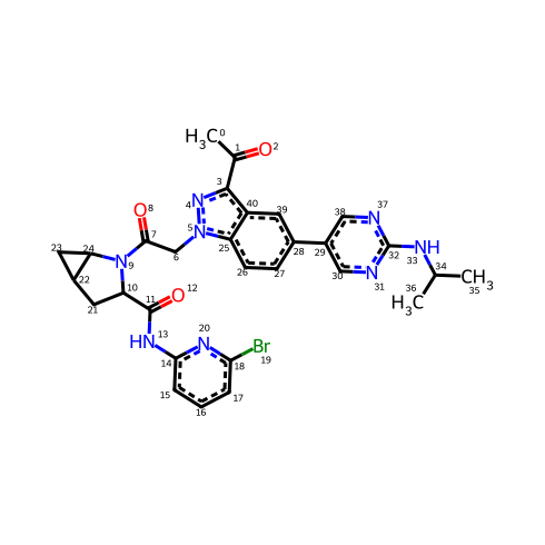 CC(=O)c1nn(CC(=O)N2C(C(=O)Nc3cccc(Br)n3)CC3CC32)c2ccc(-c3cnc(NC(C)C)nc3)cc12